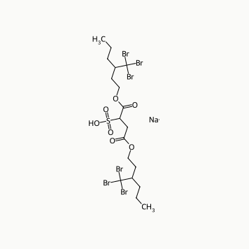 CCCC(CCOC(=O)CC(C(=O)OCCC(CCC)C(Br)(Br)Br)S(=O)(=O)O)C(Br)(Br)Br.[Na]